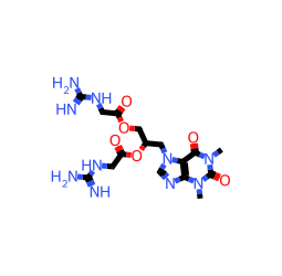 Cn1c(=O)c2c(ncn2CC(COC(=O)CNC(=N)N)OC(=O)CNC(=N)N)n(C)c1=O